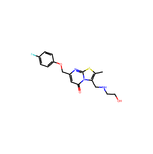 Cc1sc2nc(COc3ccc(F)cc3)cc(=O)n2c1CNCCO